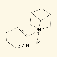 CC(C)N1CC2CC(C1)C2Oc1ccccn1